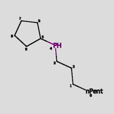 CCCCCCCCPC1CCCC1